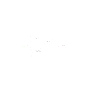 O=CONc1cc(F)c(F)c(F)c1